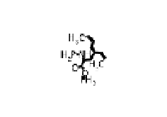 C\C=C/C=C(\C=C/C)CC(NP)C(=O)OP